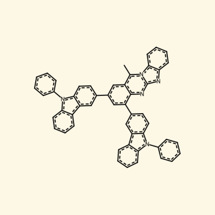 Cc1c2cc(-c3ccc4c(c3)c3ccccc3n4-c3ccccc3)cc(-c3ccc4c(c3)c3ccccc3n4-c3ccccc3)c2nc2nc3ccccc3n12